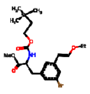 CCO/C=C/c1cc(Br)cc(C[C@H](NC(=O)OCC[Si](C)(C)C)C(=O)OC)c1